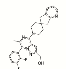 Cc1nc(N2CCC3(CC2)Cc2cccnc2C3)c2cc(CO)nn2c1-c1cccc(F)c1F